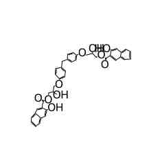 O=C(OCC(O)COc1ccc(Cc2ccc(OCC(O)COC(=O)c3cc4ccccc4cc3O)cc2)cc1)c1cc2ccccc2cc1O